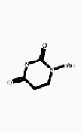 CCCCN1CCC(=O)[N]C1=O